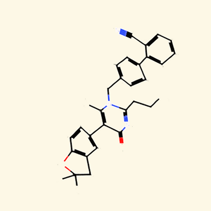 CCCc1nc(=O)c(-c2ccc3c(c2)CC(C)(C)O3)c(C)n1Cc1ccc(-c2ccccc2C#N)cc1